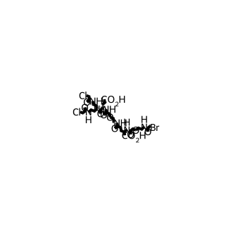 O=C(O)CC[C@H](NC(=O)COCCNC(=O)CCC(NC(=O)COCCNC(=O)CBr)C(=O)O)C(=O)N(CCNC(=O)CCl)CCNC(=O)CCl